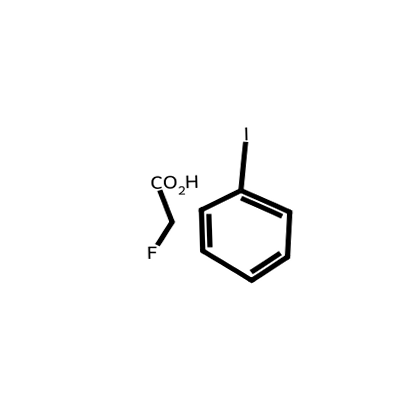 Ic1ccccc1.O=C(O)CF